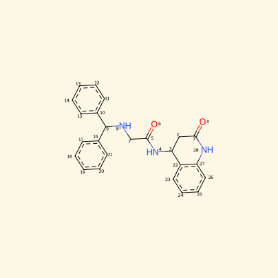 O=C1CC(NC(=O)CNC(c2ccccc2)c2ccccc2)c2ccccc2N1